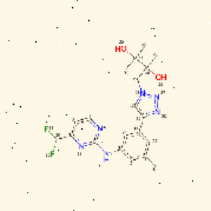 Cc1cc(Nc2nccc(C(F)F)n2)cc(-c2cn(CC(C)(O)C(C)(C)O)nn2)c1